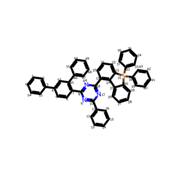 c1ccc(-c2ccc(-c3nc(-c4ccccc4)nc(-c4cccc5c4-c4ccccc4S5(c4ccccc4)c4ccccc4)n3)c(-c3ccccc3)c2)cc1